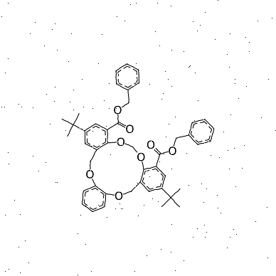 CC(C)(C)c1cc2c(c(C(=O)OCc3ccccc3)c1)OCOc1c(cc(C(C)(C)C)cc1C(=O)OCc1ccccc1)COc1ccccc1OC2